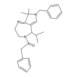 CC(C)C1C2=CN(Cc3ccccc3)C(C)(C)C2=NCCN1C(=O)Cc1ccccc1